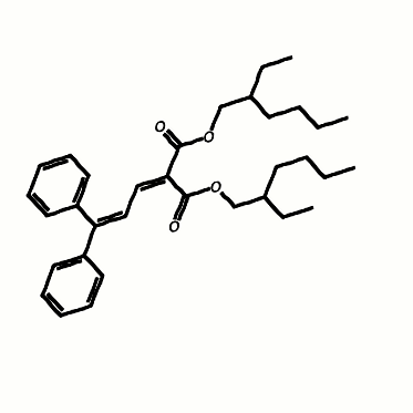 CCCCC(CC)COC(=O)C(=CC=C(c1ccccc1)c1ccccc1)C(=O)OCC(CC)CCCC